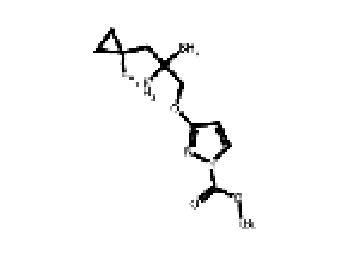 BC(B)(COc1ccn(C(=O)OC(C)(C)C)n1)CC1(C(F)(F)F)CC1